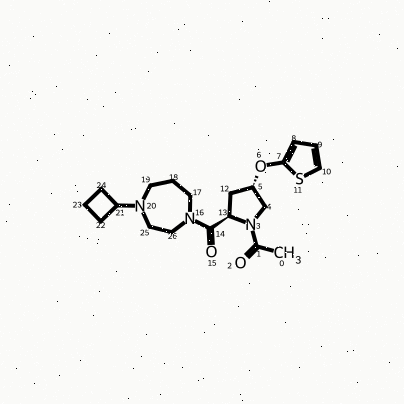 CC(=O)N1C[C@@H](Oc2cccs2)C[C@@H]1C(=O)N1CCCN(C2CCC2)CC1